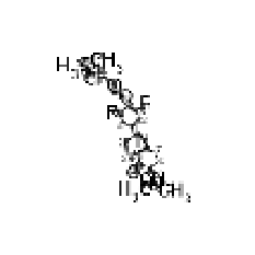 CN(C)CC1(C)CCc2nc(-c3cc(F)c(OCOCC[Si](C)(C)C)c(F)c3)ccc2C1=O